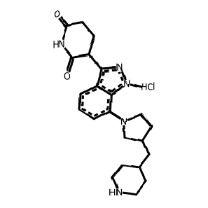 Cl.Cn1nc(C2CCC(=O)NC2=O)c2cccc(N3CCC(CC4CCNCC4)C3)c21